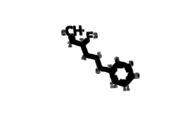 [CH]=CC(F)CCCc1ccccc1